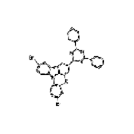 Brc1ccc2c(c1)Sc1cc(-c3nc(-c4ccccc4)nc(-c4ccccc4)n3)cc3c4cc(Br)ccc4n-2c13